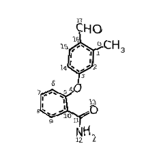 Cc1cc(Oc2ccccc2C(N)=O)ccc1C=O